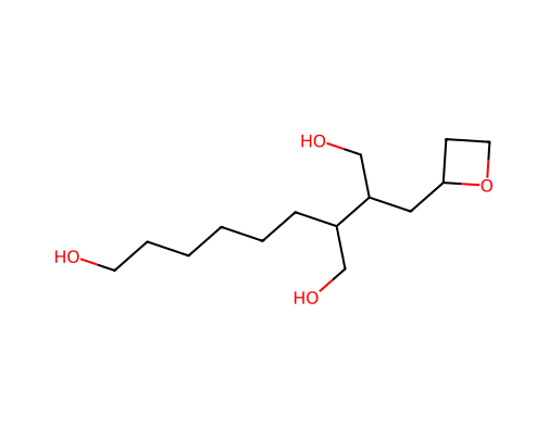 OCCCCCCC(CO)C(CO)CC1CCO1